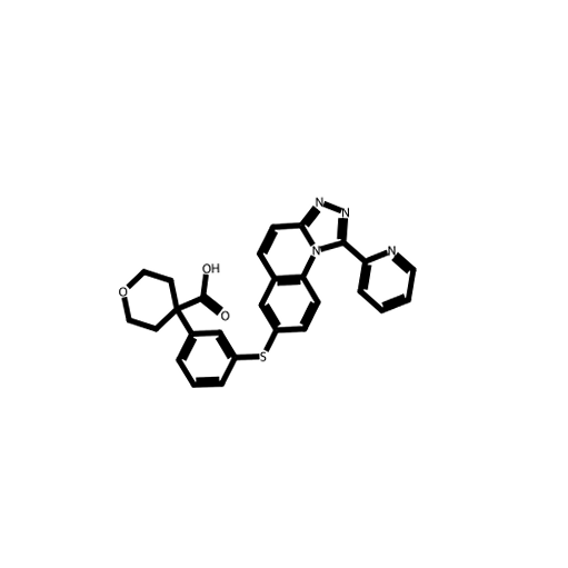 O=C(O)C1(c2cccc(Sc3ccc4c(ccc5nnc(-c6ccccn6)n54)c3)c2)CCOCC1